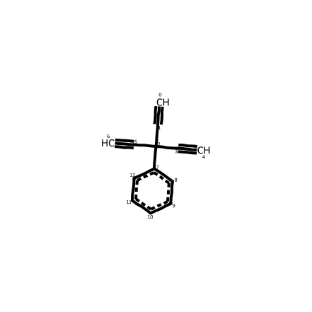 C#CC(C#C)(C#C)c1ccccc1